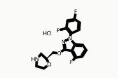 Cl.Fc1ccc(-n2nc(OC[C@@H]3CNCCO3)c3c(F)cccc32)c(F)c1